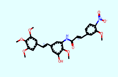 COc1cc(/C=C/C(=O)Nc2cc(/C=C/c3cc(OC)c(OC)c(OC)c3)cc(O)c2OC)ccc1[N+](=O)[O-]